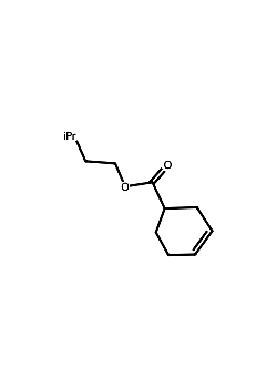 CC(C)CCOC(=O)C1CC=CCC1